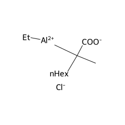 CCCCCCC(C)(C)C(=O)[O-].C[CH2][Al+2].[Cl-]